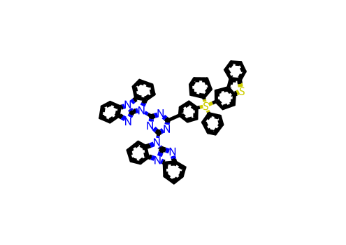 c1ccc(S(c2ccccc2)(c2ccc(-c3nc(-n4c5ccccc5n5c6ccccc6nc45)nc(-n4c5ccccc5n5c6ccccc6nc45)n3)cc2)c2ccc3sc4ccccc4c3c2)cc1